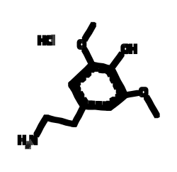 COc1cc(CCN)cc(OC)c1O.Cl